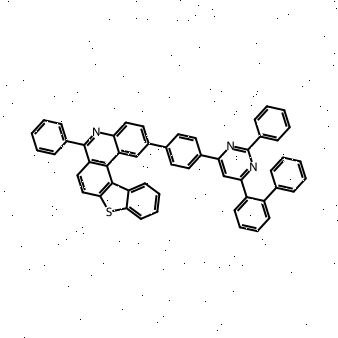 c1ccc(-c2nc(-c3ccc(-c4ccc5nc(-c6ccccc6)c6ccc7sc8ccccc8c7c6c5c4)cc3)cc(-c3ccccc3-c3ccccc3)n2)cc1